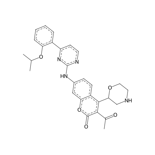 CC(=O)c1c(C2CNCCO2)c2ccc(Nc3nccc(-c4ccccc4OC(C)C)n3)cc2oc1=O